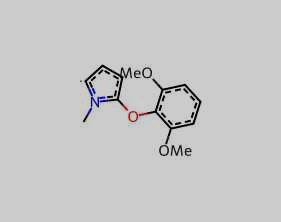 COc1cccc(OC)c1Oc1cc[c]n1C